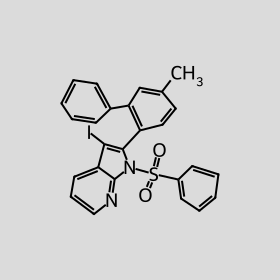 Cc1ccc(-c2c(I)c3cccnc3n2S(=O)(=O)c2ccccc2)c(-c2ccccc2)c1